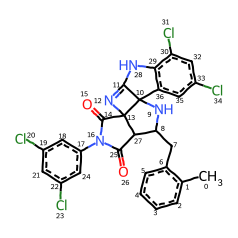 Cc1ccccc1CC1NC23C(=NC24C(=O)N(c2cc(Cl)cc(Cl)c2)C(=O)C14)Nc1c(Cl)cc(Cl)cc13